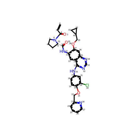 C=CC(=O)N1CCC[C@H]1C(=O)Nc1cc2c(Nc3ccc(OCc4ccccn4)c(Cl)c3)ncnc2cc1OCC1CC1